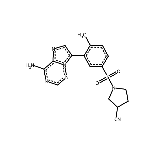 Cc1ccc(S(=O)(=O)N2CCC(C#N)C2)cc1-c1cnc2c(N)ncnn12